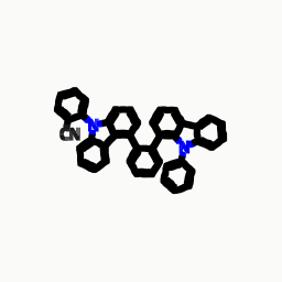 N#Cc1ccccc1-n1c2ccccc2c2c(-c3ccccc3-c3cccc4c5ccccc5n(-c5ccccc5)c34)cccc21